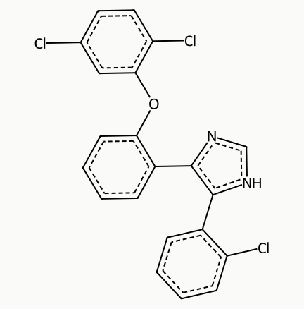 Clc1ccc(Cl)c(Oc2ccccc2-c2nc[nH]c2-c2ccccc2Cl)c1